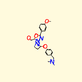 COc1ccc(C2=NN(N3CCC3Oc3ccc(CN(C)C)cc3)C(C=O)O2)cc1